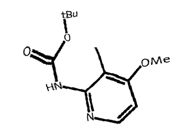 COc1ccnc(NC(=O)OC(C)(C)C)c1C